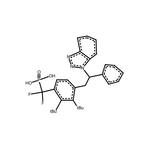 CC(C)(C)c1c(CC(c2ccccc2)n2nnc3ccccc32)ccc(C(F)(F)P(=O)(O)O)c1C(C)(C)C